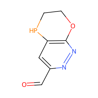 O=Cc1cc2c(nn1)OCCP2